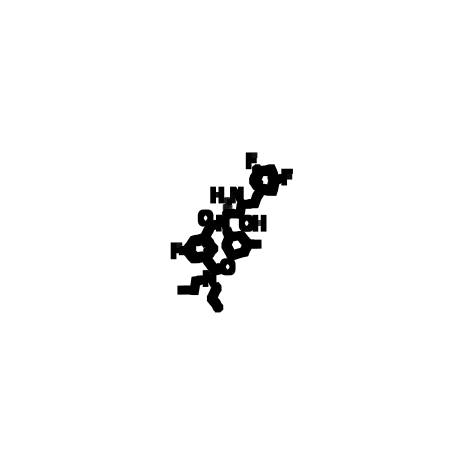 CCCN(CCC)C(=O)c1cc(F)cc(C(=O)N(C[C@@H](O)[C@@H](N)Cc2cc(F)cc(F)c2)C2CCCC(C)C2)c1